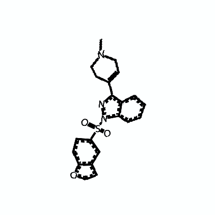 CN1CC=C(c2nn(S(=O)(=O)c3ccc4occc4c3)c3ccccc23)CC1